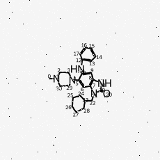 CN1CCN(c2cc3c(cc2Nc2ccccc2)[nH]c(=O)n3CC2CCCCC2)CC1